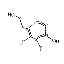 OCCc1ccc(O)c(F)c1F